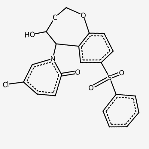 O=c1ccc(Cl)cn1C1c2cc(S(=O)(=O)c3ccccc3)ccc2OCCC1O